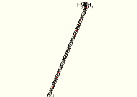 COCCOCCOCCOCCOCCOCCOCCOCCOCCOCCOCCOCCOCCOCCOCCOCCOCCOCCOCCOCCOCCOCCOCCOCCOCCOCCOCCOCCOCCOCCOCCOCCOCCOCCOCCOCCOCCOCCOCCOCCOCCOCCOCCOCCOCCOCCS(=O)(=O)CCC(C)(C)N(Cl)Cl